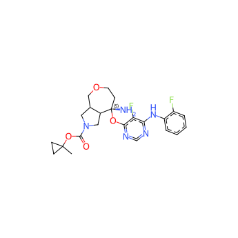 CC1(OC(=O)N2CC3COCC[C@](N)(Oc4ncnc(Nc5ccccc5F)c4F)C3C2)CC1